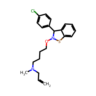 C=CCN(C)CCCCON1Sc2ccccc2C1c1ccc(Cl)cc1